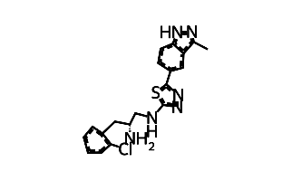 Cc1n[nH]c2ccc(-c3nnc(NC[C@H](N)Cc4ccccc4Cl)s3)cc12